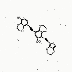 O=[N+]([O-])c1cc(C#Cc2ccc(S)c3c2OCCO3)c2c(c1C#Cc1scc3c1OCCO3)OCCO2